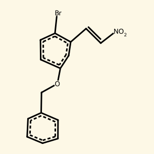 O=[N+]([O-])C=Cc1cc(OCc2ccccc2)ccc1Br